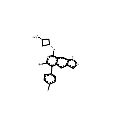 CC(C)c1nc(O[C@H]2C[C@H](C(=O)O)C2)c2cc3[nH]ncc3cc2c1-c1ccc(F)cc1